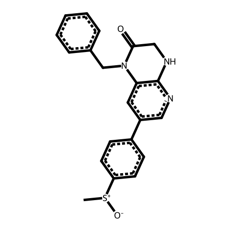 C[S+]([O-])c1ccc(-c2cnc3c(c2)N(Cc2ccccc2)C(=O)CN3)cc1